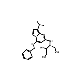 CC(C)c1cnn2c(NCc3ccccc3)cc(N[C@@H](CO)C(O)CO)nc12